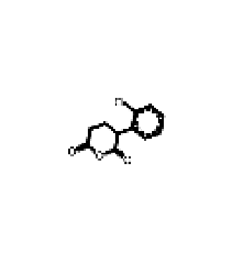 O=C1CCC(c2ccccc2Cl)C(=O)O1